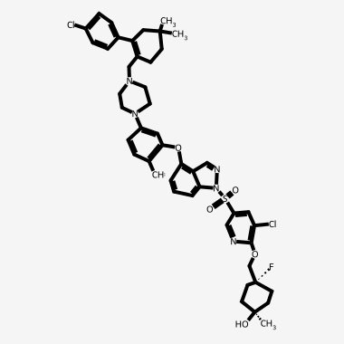 [CH]c1ccc(N2CCN(CC3=C(c4ccc(Cl)cc4)CC(C)(C)CC3)CC2)cc1Oc1cccc2c1cnn2S(=O)(=O)c1cnc(OC[C@]2(F)CC[C@](C)(O)CC2)c(Cl)c1